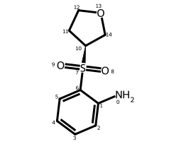 Nc1ccccc1S(=O)(=O)[C@H]1CCOC1